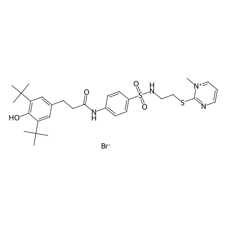 C[n+]1cccnc1SCCNS(=O)(=O)c1ccc(NC(=O)CCc2cc(C(C)(C)C)c(O)c(C(C)(C)C)c2)cc1.[Br-]